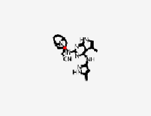 Cc1cc(Nc2nc(NC3CC4CCC(C3)N4CCC#N)nc3[nH]cc(C)c23)n[nH]1